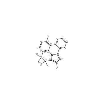 Cc1nc2c3ccccc3c3c(C)ccc4c3n2c1C(C)(C)S4(C)C